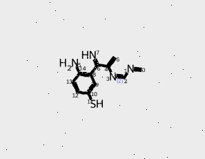 C=N/C=N\C(=C)C(=N)c1cc(S)ccc1N